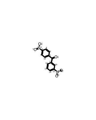 O=C(c1ccc([N+](=O)[O-])cc1)c1cccc([N+](=O)[O-])c1